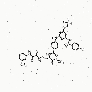 COC(=O)[C@@H](CCNC(=O)C(=O)Nc1cccc(C)c1)NC(=O)c1ccc(Nc2nc(NC3(c4ccc(Cl)cc4)CC3)nc(OCC(F)(F)F)n2)cc1